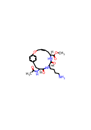 COC(=O)[C@@H]1CC=CCOc2ccc(cc2)C[C@H](NC(C)=O)C(=O)N[C@H](CCCCN)C(=O)N1